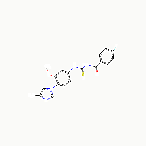 COc1cc(NC(=S)NC(=O)c2ccc(F)cc2)ccc1-n1cnc(C)c1